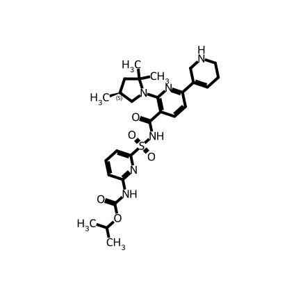 CC(C)OC(=O)Nc1cccc(S(=O)(=O)NC(=O)c2ccc(C3=CCCNC3)nc2N2C[C@@H](C)CC2(C)C)n1